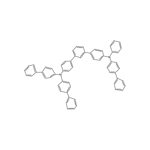 c1ccc(-c2ccc(N(c3ccccc3)c3ccc(-c4cccc(-c5ccc(N(c6ccc(-c7ccccc7)cc6)c6ccc(-c7ccccc7)cc6)cc5)c4)cc3)cc2)cc1